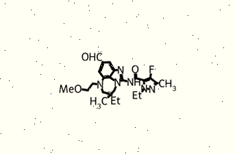 CCn1nc(C)c(F)c1C(=O)Nc1nc2cc(C=O)cc3c2n1C[C@](C)(CC)CN3CCOC